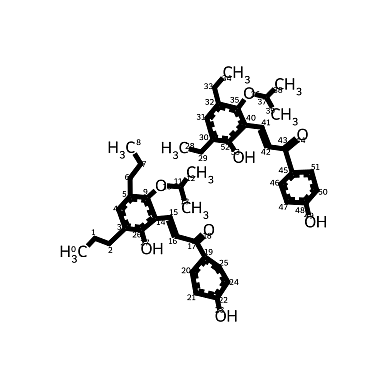 CCCc1cc(CCC)c(OC(C)C)c(C=CC(=O)c2ccc(O)cc2)c1O.CCc1cc(CC)c(OC(C)C)c(C=CC(=O)c2ccc(O)cc2)c1O